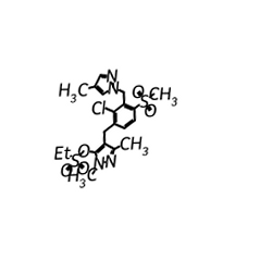 CCS(=O)(=O)Oc1c(Cc2ccc(S(C)(=O)=O)c(Cn3cc(C)cn3)c2Cl)c(C)nn1C